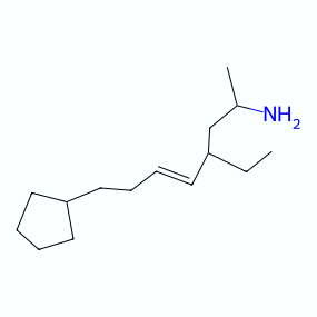 CCC(/C=C/CCC1CCCC1)CC(C)N